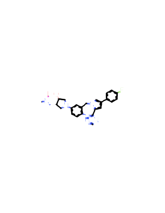 CN(C)C[C@H]1CN(c2ccc3c(c2)Cn2cc(-c4ccc(F)cc4)cc2-c2ncnn2-3)C[C@H]1O